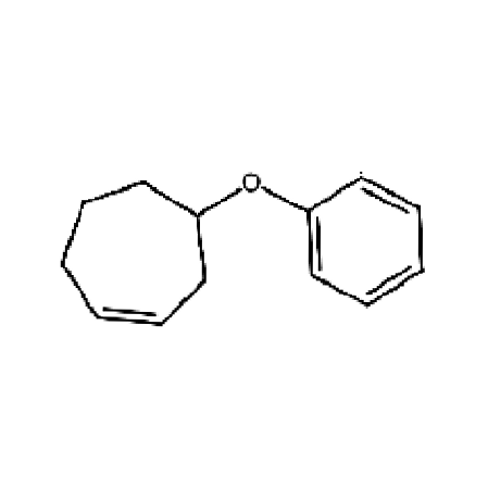 [c]1ccccc1OC1CC=CCCC1